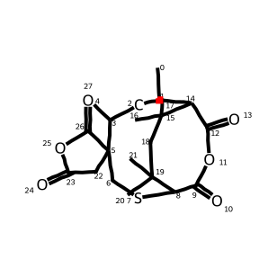 CC1CC(C)C2(CSC3C(=O)OC(=O)C1C(C)(C)CC3(C)C)CC(=O)OC2=O